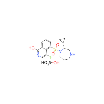 O=S(=O)(O)O.O=S(=O)(c1cccc2c(O)ncc(F)c12)N1CCCNC[C@H]1C1CC1